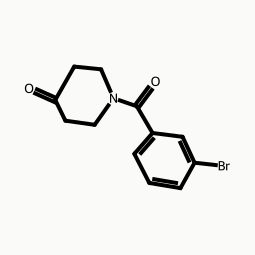 O=C1CCN(C(=O)c2cccc(Br)c2)CC1